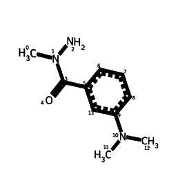 CN(N)C(=O)c1cccc(N(C)C)c1